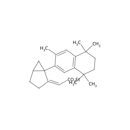 CCOC(=O)/C=C1/CCC2CC12c1cc2c(cc1C)C(C)(C)CCC2(C)C